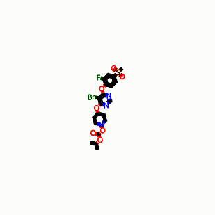 CC(C)OC(=O)ON1CCC(Oc2ncnc(Oc3ccc(S(C)(=O)=O)cc3F)c2Br)CC1